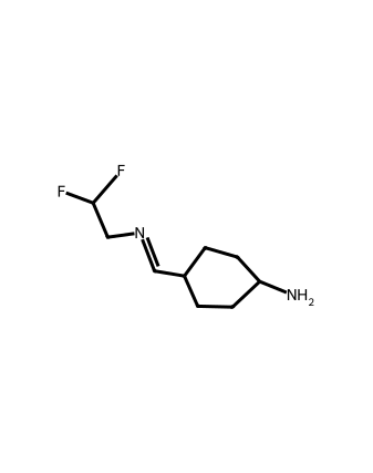 NC1CCC(/C=N/CC(F)F)CC1